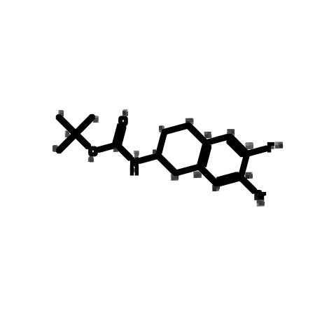 CC(C)(C)OC(=O)NC1CCc2cc(F)c(Br)cc2C1